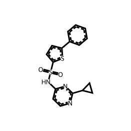 O=S(=O)(Nc1ccnc(C2CC2)n1)c1ccc(-c2ccccc2)s1